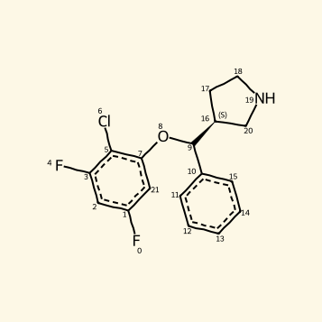 Fc1cc(F)c(Cl)c(OC(c2ccccc2)[C@H]2CCNC2)c1